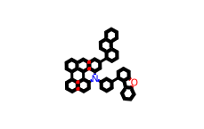 c1ccc(-c2cccc3cccc(-c4ccccc4N(c4cccc(-c5cccc6c5ccc5ccccc56)c4)c4cccc(-c5cccc6oc7ccccc7c56)c4)c23)cc1